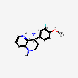 CN1CC[C@](N)(c2ccc(OC(F)(F)F)c(F)c2)c2ncccc21